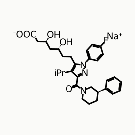 CC(C)c1c(C(=O)N2CCC[C@H](c3ccccc3)C2)nn(-c2ccc(F)cc2)c1CC[C@@H](O)C[C@@H](O)CC(=O)[O-].[Na+]